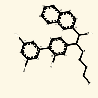 CCCCCC(c1ccc(-c2cc(F)cc(F)c2)c(F)c1)C(F)c1ccc2ccccc2c1